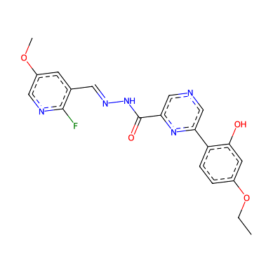 CCOc1ccc(-c2cncc(C(=O)N/N=C/c3cc(OC)cnc3F)n2)c(O)c1